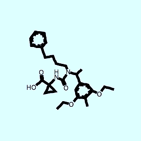 CCOc1cc(C(C)N(CCCCc2ccccc2)C(=O)NC2(C(=O)O)CC2)cc(OCC)c1C